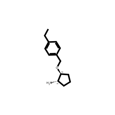 CCc1ccc(CO[C@H]2CCC[C@@H]2N)cc1